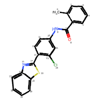 Cc1ccccc1C(=O)Nc1ccc(-c2nc3ccccc3s2)c(Cl)c1